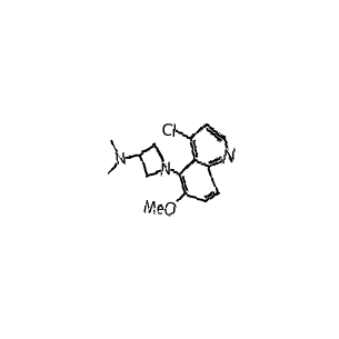 COc1ccc2nccc(Cl)c2c1N1CC(N(C)C)C1